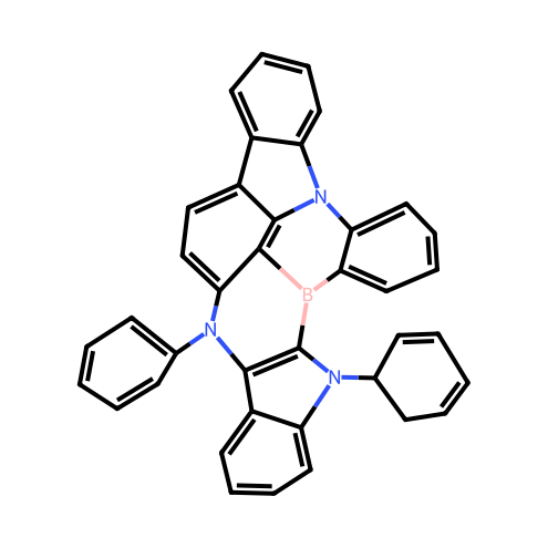 C1=CCC(n2c3c(c4ccccc42)N(c2ccccc2)c2ccc4c5ccccc5n5c4c2B3c2ccccc2-5)C=C1